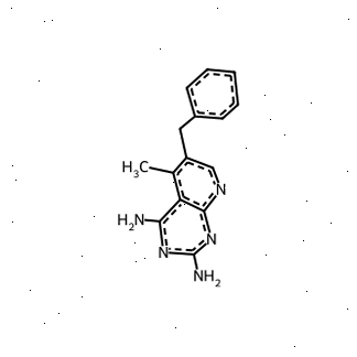 Cc1c(Cc2ccccc2)cnc2nc(N)nc(N)c12